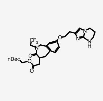 CCCCCCCCCCCOC(=O)CC1Cc2ccc(OCCc3cn4c(n3)NCCC4)cc2CN(CC(F)(F)F)C1=O